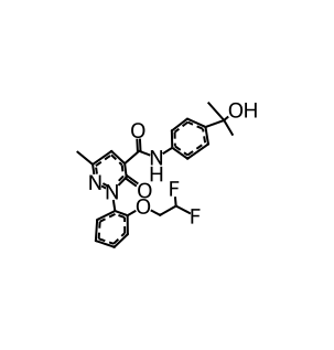 Cc1cc(C(=O)Nc2ccc(C(C)(C)O)cc2)c(=O)n(-c2ccccc2OCC(F)F)n1